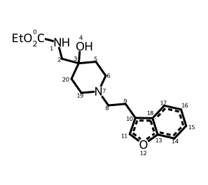 CCOC(=O)NCC1(O)CCN(CCc2coc3ccccc23)CC1